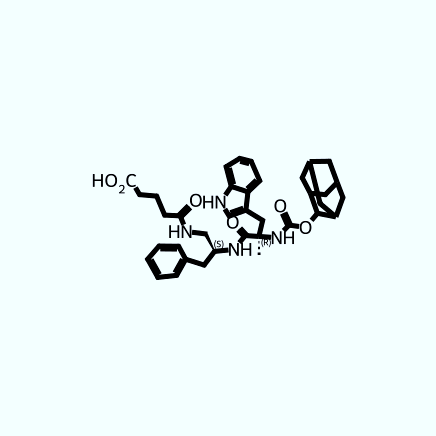 C[C@](Cc1c[nH]c2ccccc12)(NC(=O)OC1C2CC3CC(C2)CC1C3)C(=O)N[C@H](CNC(=O)CCCC(=O)O)Cc1ccccc1